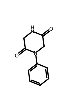 O=C1CN(c2ccccc2)C(=O)CN1